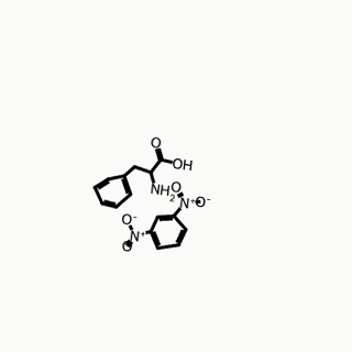 NC(Cc1ccccc1)C(=O)O.O=[N+]([O-])c1cccc([N+](=O)[O-])c1